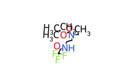 CCN(CCNC(=O)C(F)(F)F)C(=O)OC(C)(C)C